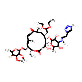 Bn1cc(CCN(C)C2C(O)C(C)OC(O[C@H]3[C@@H](CC(OCC)OCC)C[C@@H](C)C(=O)/C=C/C(C)=C/[C@H](COC4OC(C)C(O)C(OC)C4OC)[C@@H](CC)OC(=O)C[C@@H](O)[C@@H]3C)C2O)nn1